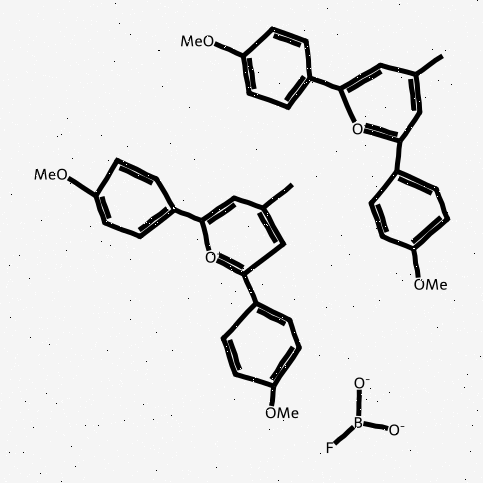 COc1ccc(-c2cc(C)cc(-c3ccc(OC)cc3)[o+]2)cc1.COc1ccc(-c2cc(C)cc(-c3ccc(OC)cc3)[o+]2)cc1.[O-]B([O-])F